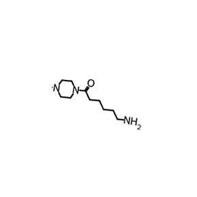 NCCCCCC(=O)N1CC[N]CC1